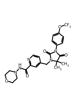 CC1(C)C(=O)N(c2ccc(OC(F)(F)F)cc2)C(=O)N1Cc1ccnc(C(=O)NN2CCOCC2)c1